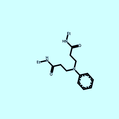 CCNC(=O)CCN(CCC(=O)NCC)c1ccccc1